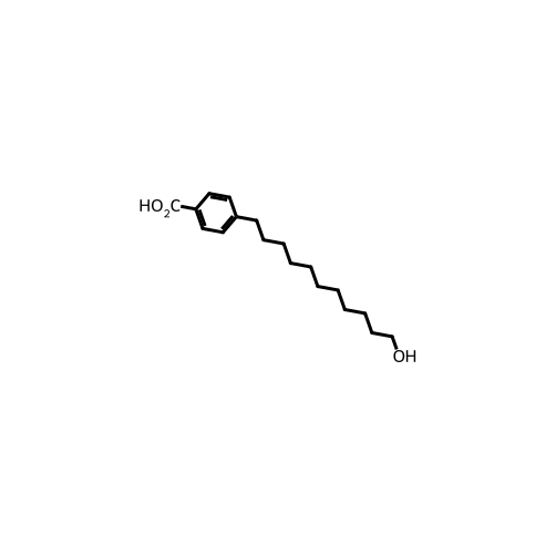 O=C(O)c1ccc(CCCCCCCCCCCO)cc1